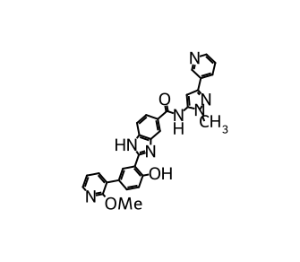 COc1ncccc1-c1ccc(O)c(-c2nc3cc(C(=O)Nc4cc(-c5cccnc5)nn4C)ccc3[nH]2)c1